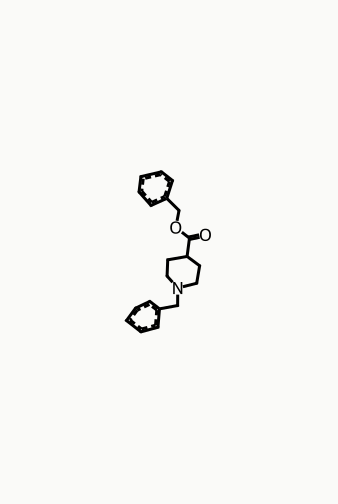 O=C(OCc1ccccc1)C1CCN(Cc2ccccc2)CC1